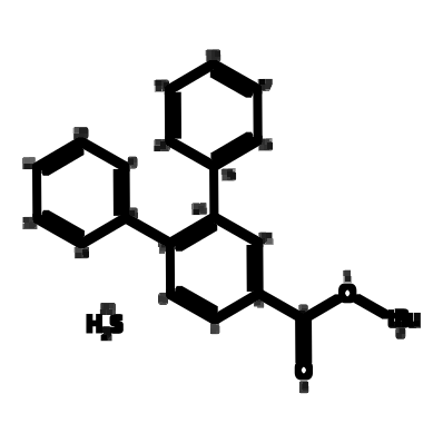 CC(C)(C)OC(=O)c1ccc(-c2ccccc2)c(-c2ccccc2)c1.S